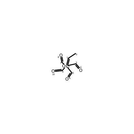 C[CH]=[Os]([CH]=O)([CH]=O)([CH]=O)[CH]=O